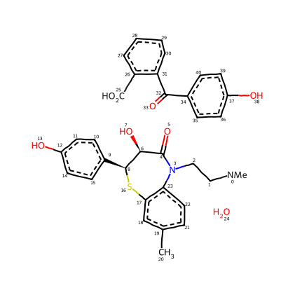 CNCCN1C(=O)[C@H](O)[C@H](c2ccc(O)cc2)Sc2cc(C)ccc21.O.O=C(O)c1ccccc1C(=O)c1ccc(O)cc1